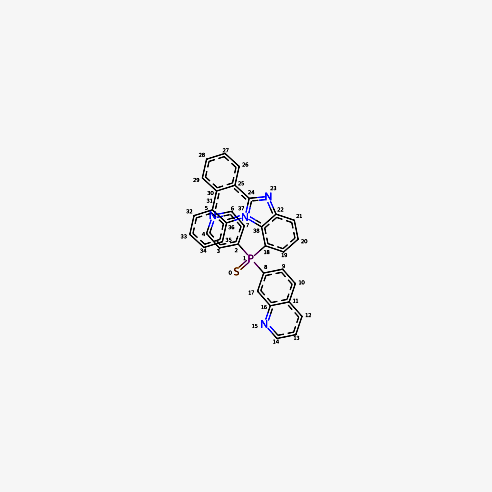 S=P(c1ccncc1)(c1ccc2cccnc2c1)c1cccc2nc3c4ccccc4c4ccccc4n3c12